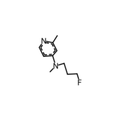 Cc1cc(N(C)CCCF)ccn1